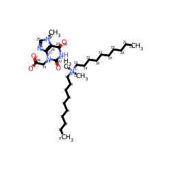 CCCCCCCCCC[N+](C)(C)CCCCCCCCCC.Cn1cnc2c1c(=O)[nH]c(=O)n2CC(=O)[O-]